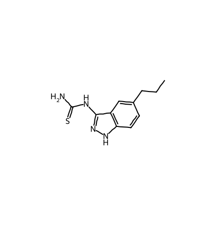 CCCc1ccc2[nH]nc(NC(N)=S)c2c1